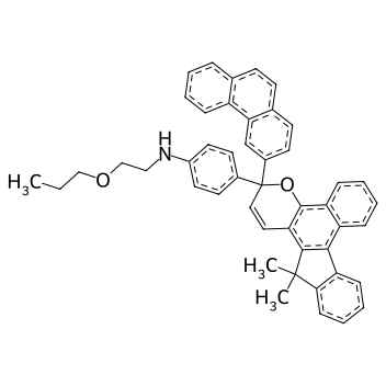 CCCOCCNc1ccc(C2(c3ccc4ccc5ccccc5c4c3)C=Cc3c4c(c5ccccc5c3O2)-c2ccccc2C4(C)C)cc1